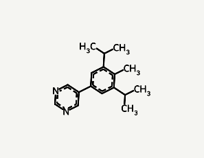 Cc1c(C(C)C)cc(-c2cncnc2)cc1C(C)C